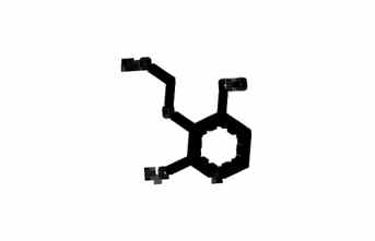 COCOc1c(C=O)ccnc1C